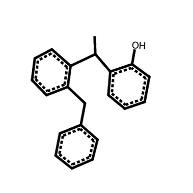 CC(c1ccccc1O)c1ccccc1Cc1ccccc1